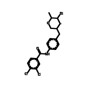 CCC1[C]C(Cc2ccc(NC(=O)c3ccc(Cl)c(Cl)c3)cc2)COC1C